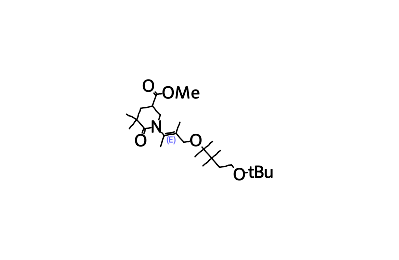 COC(=O)C1CN(/C(C)=C(\C)COC(C)(C)C(C)(C)CCOC(C)(C)C)C(=O)C(C)(C)C1